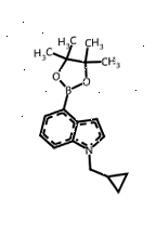 CC1(C)OB(c2cccc3c2ccn3CC2CC2)OC1(C)C